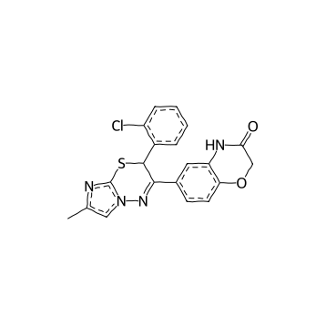 Cc1cn2c(n1)SC(c1ccccc1Cl)C(c1ccc3c(c1)NC(=O)CO3)=N2